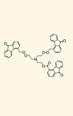 O=C1c2ccccc2-c2c(COOCCN(CCOOCc3cccc4c3-c3ccccc3C4=O)CCOC(=O)c3cccc4c3-c3ccccc3C4=O)cccc21